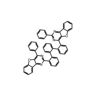 c1ccc(-c2nc(-c3ccccc3-c3ccccc3-c3ccccc3-c3nc(-c4ccccc4)c4oc5ccccc5c4n3)c3oc4ccccc4c3n2)cc1